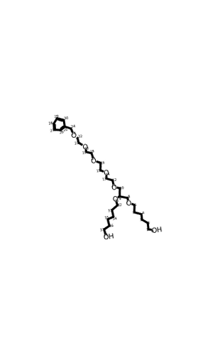 OCCCCCCOCC(COCCOCCOCCOCCOCc1ccccc1)OCCCCCCO